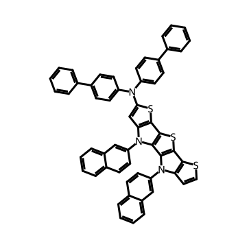 c1ccc(-c2ccc(N(c3ccc(-c4ccccc4)cc3)c3cc4c(s3)c3sc5c6sccc6n(-c6ccc7ccccc7c6)c5c3n4-c3ccc4ccccc4c3)cc2)cc1